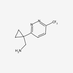 NCC1(c2ccc(C(F)(F)F)nn2)CC1